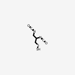 O=C=NCC(CSS)N=C=O